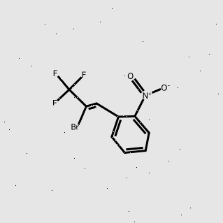 O=[N+]([O-])c1ccccc1C=C(Br)C(F)(F)F